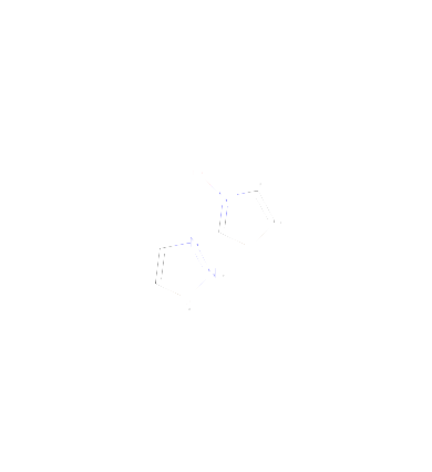 [O-][n+]1[c]scc1.[c]1csnn1